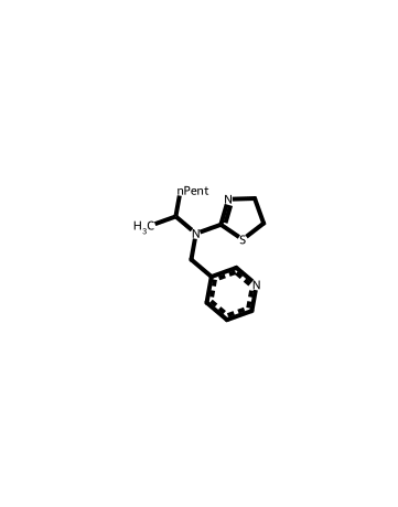 CCCCCC(C)N(Cc1cccnc1)C1=NCCS1